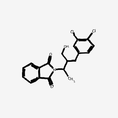 CC(C(CO)Cc1ccc(Cl)c(Cl)c1)N1C(=O)c2ccccc2C1=O